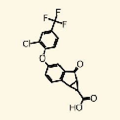 O=C(O)C1C2C(=O)c3cc(Oc4ccc(C(F)(F)F)cc4Cl)ccc3C12